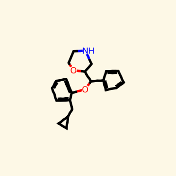 c1ccc(C(Oc2ccccc2CC2CC2)C2CNCCO2)cc1